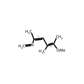 C=N/C(C)=C\C(C)=C(/C)OC